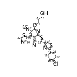 [C-]#[N+]c1c(OCCCO)nc(SCc2csc(-c3ccc(Cl)cc3)n2)c(C#N)c1-c1cncs1